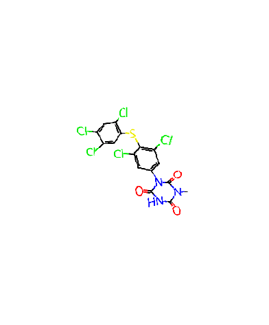 Cn1c(=O)[nH]c(=O)n(-c2cc(Cl)c(Sc3cc(Cl)c(Cl)cc3Cl)c(Cl)c2)c1=O